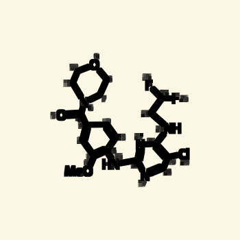 COc1cc(C(=O)N2CCOCC2)ccc1Nc1ncc(Cl)c(NCC(F)F)n1